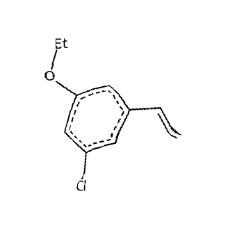 C=Cc1cc(Cl)cc(OCC)c1